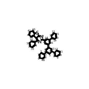 c1ccc(-c2cc(-c3ccccc3)cc(-c3cc(-c4ccccc4)cc(-c4nc(-c5ccccc5)c5c(n4)sc4ccccc45)c3)c2)cc1